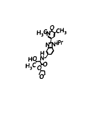 Cc1cc(-c2nc3cc(CN[C@H](C(=O)O[C@H]4CCOC4)[C@@H](C)O)ccc3n2C(C)C)cn(C)c1=O